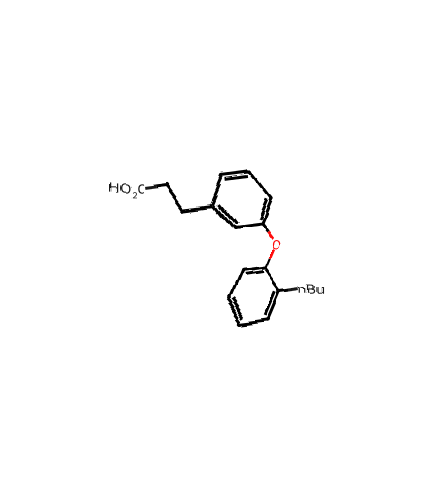 CCCCc1ccccc1Oc1cccc(CCC(=O)O)c1